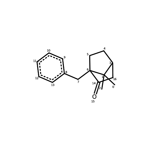 CC1(C)C2CCC1(Cc1cc[c]cc1)C(=O)C2